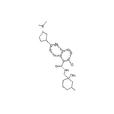 CC1CCCC(O)(CNC(=O)c2c(Cl)ccc3nc(C4CCC(N(C)C)C4)ccc23)C1